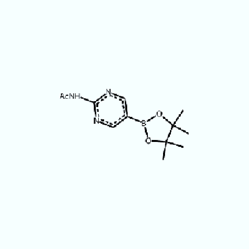 CC(=O)Nc1ncc(B2OC(C)(C)C(C)(C)O2)cn1